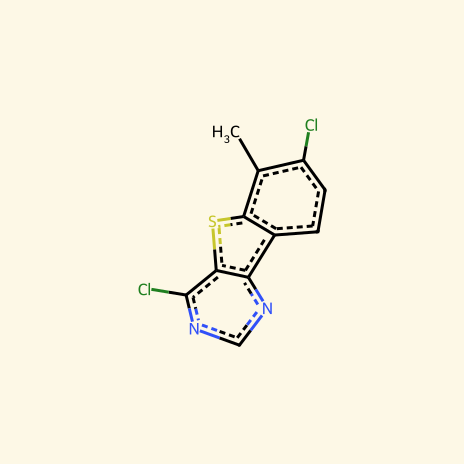 Cc1c(Cl)ccc2c1sc1c(Cl)ncnc12